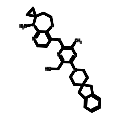 Cc1nc(N2CCC3(CC2)Cc2ccccc2C3)c(CO)nc1Sc1ccnc2c1OCCC1(CC1)N2C